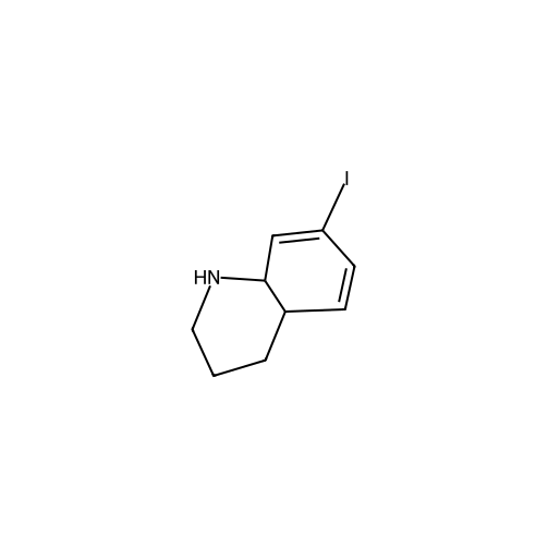 IC1=CC2NCCCC2C=C1